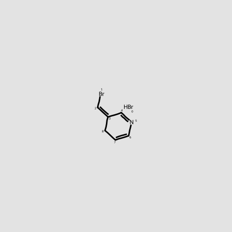 Br.BrC=C1C=NC=CC1